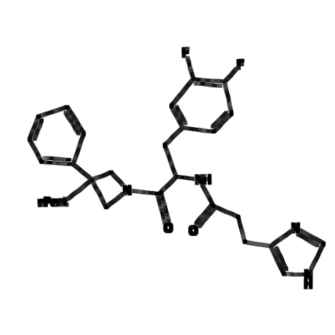 CCCCCC1(c2ccccc2)CN(C(=O)C(Cc2ccc(F)c(F)c2)NC(=O)CCc2c[nH]cn2)C1